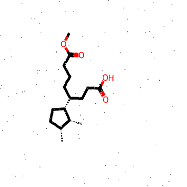 COC(=O)CCCC(CCC(=O)O)[C@H]1CC[C@@H](C)[C@H]1C